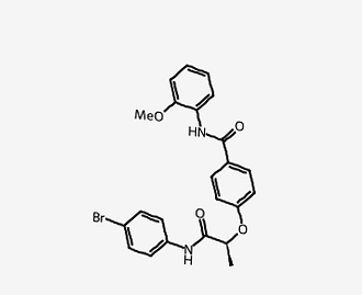 COc1ccccc1NC(=O)c1ccc(O[C@@H](C)C(=O)Nc2ccc(Br)cc2)cc1